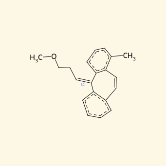 COCC/C=C1/c2ccccc2C=Cc2c(C)cccc21